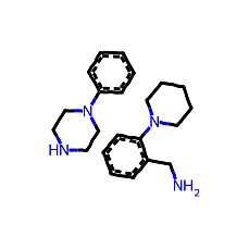 NCc1ccccc1N1CCCCC1.c1ccc(N2CCNCC2)cc1